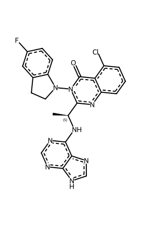 C[C@H](Nc1ncnc2[nH]cnc12)c1nc2cccc(Cl)c2c(=O)n1N1CCc2cc(F)ccc21